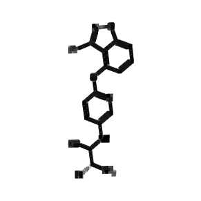 CC[C@@H](N)C(O)Nc1ccc(Oc2cccc3onc(C(C)C)c23)nc1